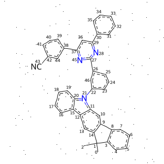 CC1(C)c2ccccc2-c2cc3c(cc21)c1ccccc1n3-c1cccc(-c2nc(-c3ccccc3)cc(-c3cccc(C#N)c3)n2)c1